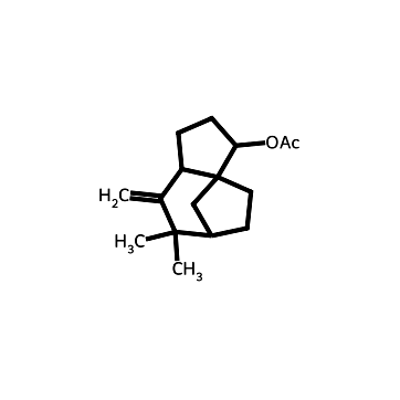 C=C1C2CCC(OC(C)=O)C23CCC(C3)C1(C)C